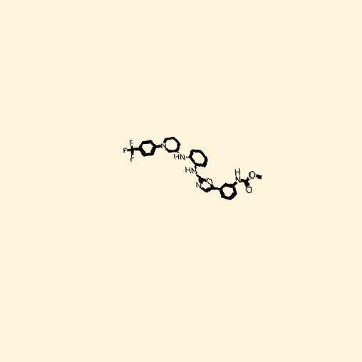 COC(=O)Nc1cccc(-c2cnc(N[C@@H]3CCCC[C@H]3N[C@H]3CCCN(c4ccc(C(F)(F)F)cc4)C3)o2)c1